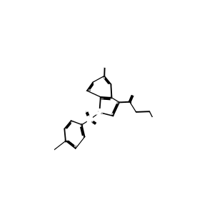 Cc1ccc(S(=O)(=O)n2cc(C(=O)CCCl)c3cc(F)ccc32)cc1